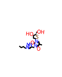 CCCCn1cc(Cn2c(=O)c(C)cn(C3CC(O)[C@@H](CO)S3)c2=O)nn1